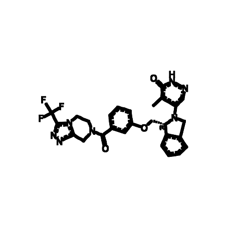 Cc1c(N2Cc3ccccc3[C@@H]2COc2cccc(C(=O)N3CCn4c(nnc4C(F)(F)F)C3)c2)cn[nH]c1=O